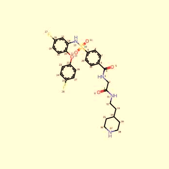 O=C(CNC(=O)c1ccc(S(=O)(=O)Nc2cc(F)ccc2Oc2ccc(F)cc2)cc1)NCCC1CCNCC1